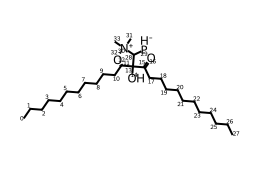 CCCCCCCCCCCC(=O)C(O)(C(=O)CCCCCCCCCCC)C([PH-])[N+](C)(C)C